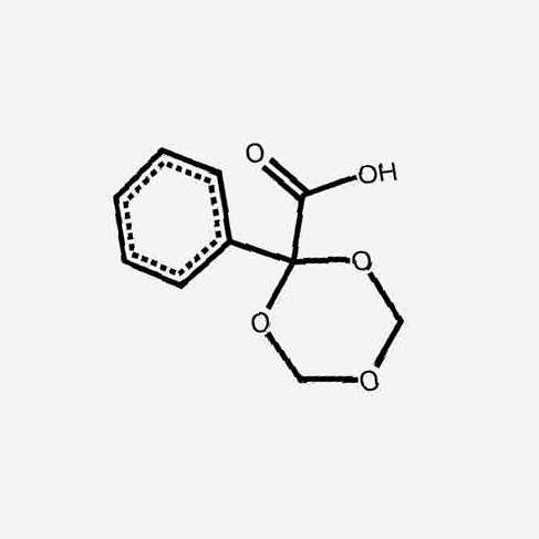 O=C(O)C1(c2ccccc2)OCOCO1